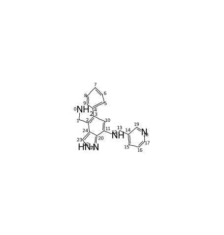 NCc1c(-c2ccccc2)cc(NCc2cccnc2)c2n[nH]cc12